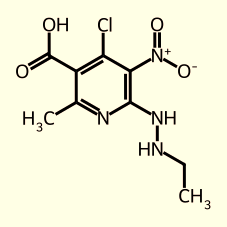 CCNNc1nc(C)c(C(=O)O)c(Cl)c1[N+](=O)[O-]